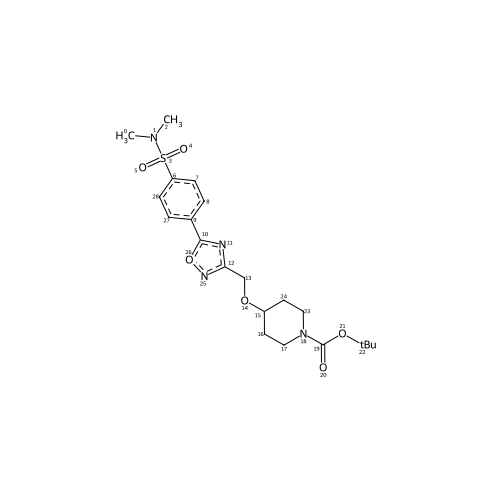 CN(C)S(=O)(=O)c1ccc(-c2nc(COC3CCN(C(=O)OC(C)(C)C)CC3)no2)cc1